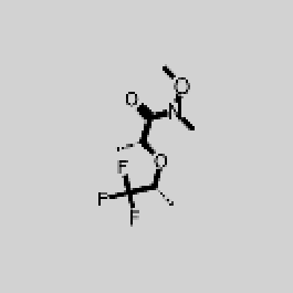 CON(C)C(=O)[C@@H](C)O[C@H](C)C(F)(F)F